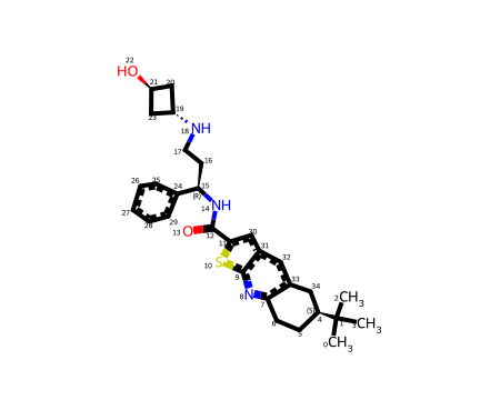 CC(C)(C)[C@H]1CCc2nc3sc(C(=O)N[C@H](CCN[C@H]4C[C@H](O)C4)c4ccccc4)cc3cc2C1